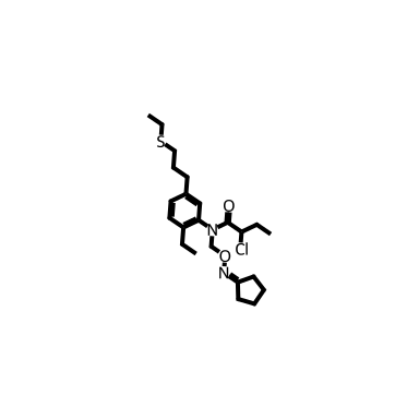 CCSCCCc1ccc(CC)c(N(CON=C2CCCC2)C(=O)C(Cl)CC)c1